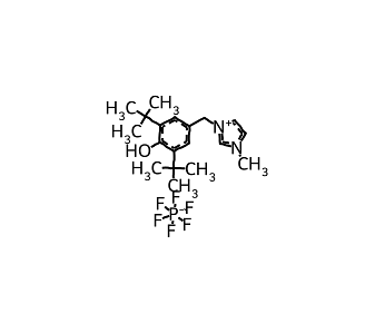 Cn1cc[n+](Cc2cc(C(C)(C)C)c(O)c(C(C)(C)C)c2)c1.F[P-](F)(F)(F)(F)F